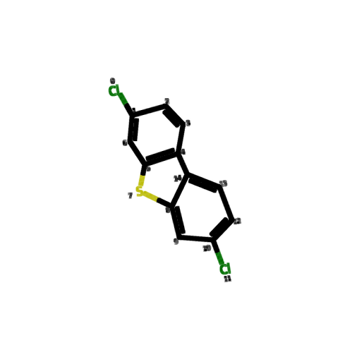 Clc1ccc2c(c1)sc1cc(Cl)ccc12